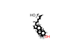 C/C(=C/CC[C@H](C)[C@@H]1CC[C@]2(C)C3=CC[C@H]4C(C)(C)[C@@H](O)CC[C@]4(C)[C@H]3CC[C@@]12C)C(=O)O